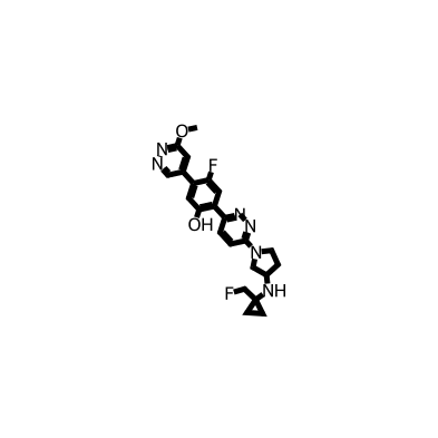 COc1cc(-c2cc(O)c(-c3ccc(N4CCC(NC5(CF)CC5)C4)nn3)cc2F)cnn1